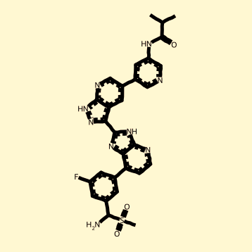 CC(C)C(=O)Nc1cncc(-c2cnc3[nH]nc(-c4nc5c(-c6cc(F)cc(C(N)S(C)(=O)=O)c6)ccnc5[nH]4)c3c2)c1